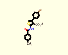 Cc1ccc(C(=O)Nc2scc(-c3ccc(Br)cc3)c2C(=O)O)cc1